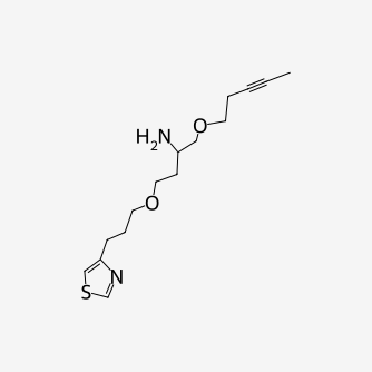 CC#CCCOCC(N)CCOCCCc1cscn1